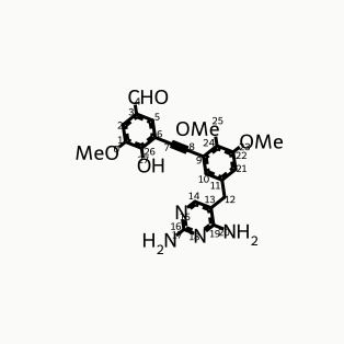 COc1cc(C=O)cc(C#Cc2cc(Cc3cnc(N)nc3N)cc(OC)c2OC)c1O